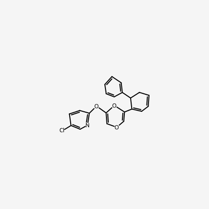 Clc1ccc(OC2=COC=C(C3=CC=CCC3c3ccccc3)O2)nc1